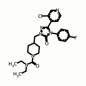 CCN(CC)C(=O)N1CCC(Cn2nc(-c3ccncc3Cl)n(-c3ccc(F)cc3)c2=O)CC1